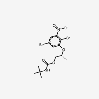 C[C@H](COC(=O)NC(C)(C)C)Oc1cc(Br)cc([N+](=O)[O-])c1Br